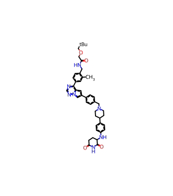 Cc1cc(-c2ncnn3cc(-c4ccc(CN5CCC(c6ccc(NC7CCC(=O)NC7=O)cc6)CC5)cc4)cc23)ccc1CNC(=O)COCC(C)(C)C